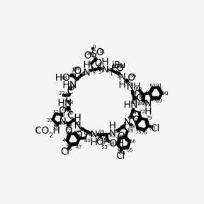 CC[C@H](C)[C@@H]1NC(=O)[C@H](CCS(C)(=O)=O)NC(=O)C([C@@H](C)O)NCP(C)NC(=O)CC(C(=O)N2CCC[C@H]2C(=O)O)NC(=O)[C@H](Cc2cccc(Cl)c2)NC(=O)[C@H]([C@@H](C)O)NC(=O)[C@H](Cc2ccc(Cl)cc2)N(C)C(=O)[C@H](Cc2cccc(Cl)c2)NC(=O)[C@@H](Cc2c[nH]c3ccccc23)NC(=O)NC1=O